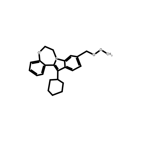 COOCc1ccc2c(C3CCCCC3)c3n(c2c1)CCOc1ccccc1-3